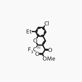 CCc1cc(Cl)cc2c1O[C@H](C(F)(F)F)C(C(=O)C(=O)OC)=C2